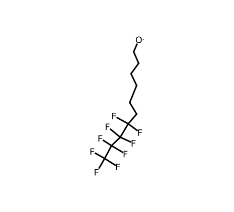 [O]CCCCCCC(F)(F)C(F)(F)C(F)(F)C(F)(F)F